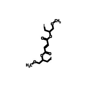 COCC(CI)OC(=O)C=CC(=O)OC(CI)COC